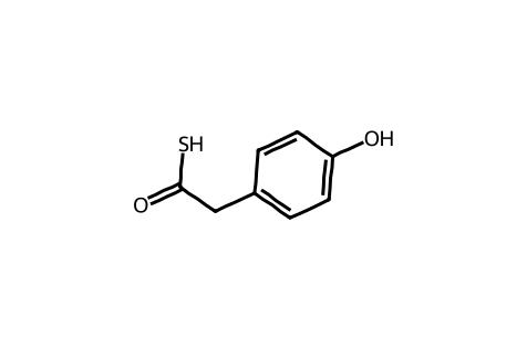 O=C(S)Cc1ccc(O)cc1